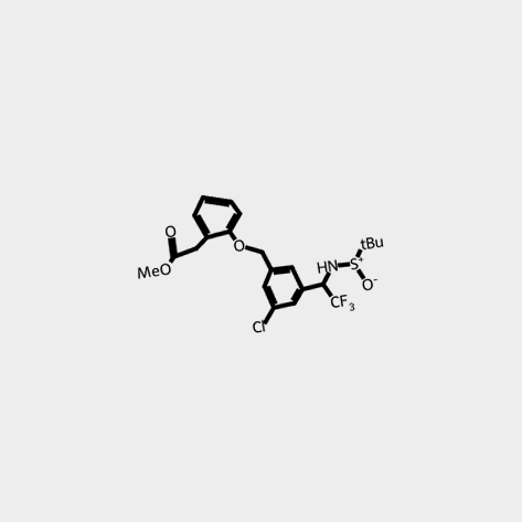 COC(=O)Cc1ccccc1OCc1cc(Cl)cc(C(N[S+]([O-])C(C)(C)C)C(F)(F)F)c1